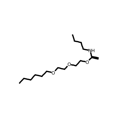 C=C(NCCCC)OCCOCCOCCCCCC